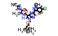 C[C@@H](NC(=O)c1cn(COCC[Si](C)(C)C)c2ncc(-c3nn(C)c4cc(Cl)cc(F)c34)nc12)C(=O)N1CC(C#N)C1